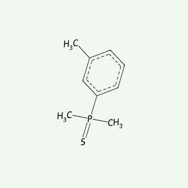 Cc1cccc(P(C)(C)=S)c1